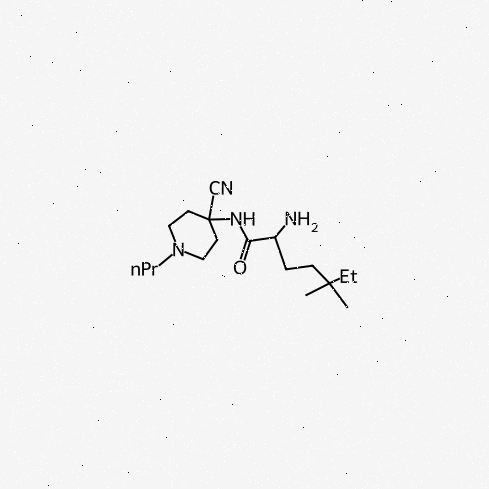 CCCN1CCC(C#N)(NC(=O)C(N)CCC(C)(C)CC)CC1